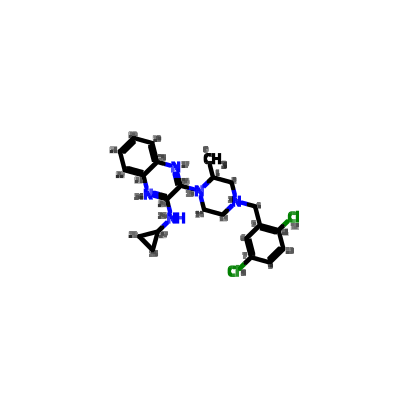 CC1CN(Cc2cc(Cl)ccc2Cl)CCN1c1nc2ccccc2nc1NC1CC1